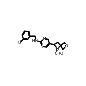 O=CN1C(c2cnc(NCc3cccc(Cl)c3)nc2)CC12COC2